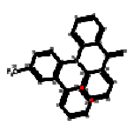 C=C1c2ccccc2N(c2ccc(C(F)(F)F)cc2-c2ccccc2)c2ccccc21